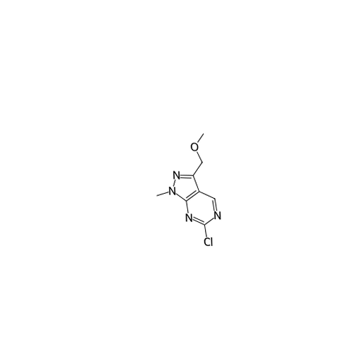 COCc1nn(C)c2nc(Cl)ncc12